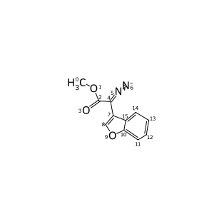 COC(=O)C(=[N+]=[N-])c1coc2ccccc12